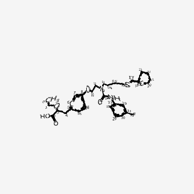 CCOC(Cc1ccc(OCCN(CCCSCc2ccccc2)C(=O)Nc2cccc(F)c2)cc1)C(=O)O